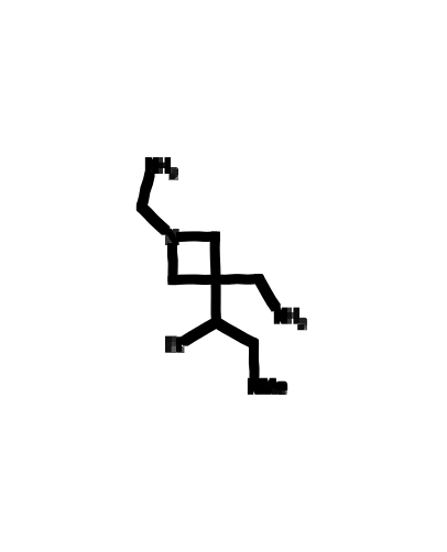 CCC(CNC)C1(CN)CN(CN)C1